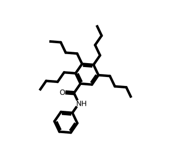 CCCCc1cc(C(=O)Nc2ccccc2)c(CCCC)c(CCCC)c1CCCC